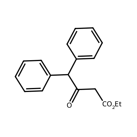 CCOC(=O)CC(=O)C(c1ccccc1)c1ccccc1